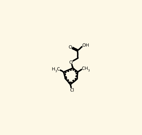 Cc1cc(Cl)cc(C)c1OCC(=O)O